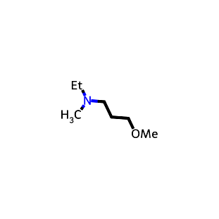 CCN(C)CCCOC